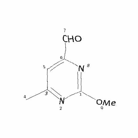 COc1nc(C)cc(C=O)n1